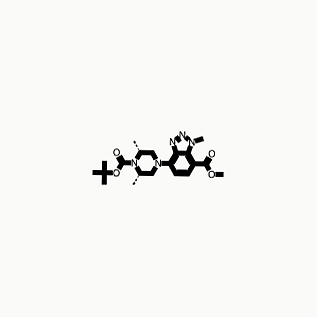 COC(=O)c1ccc(N2C[C@@H](C)N(C(=O)OC(C)(C)C)[C@@H](C)C2)c2nnn(C)c12